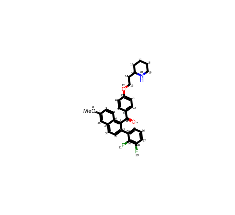 COc1ccc2c(C(=O)c3ccc(OCCC4CCCCN4)cc3)c(-c3cccc(F)c3F)ccc2c1